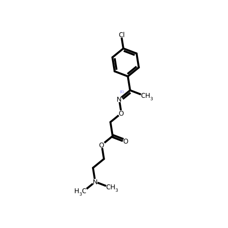 C/C(=N\OCC(=O)OCCN(C)C)c1ccc(Cl)cc1